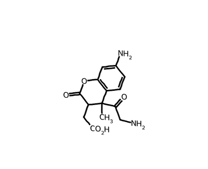 CC1(C(=O)CN)c2ccc(N)cc2OC(=O)C1CC(=O)O